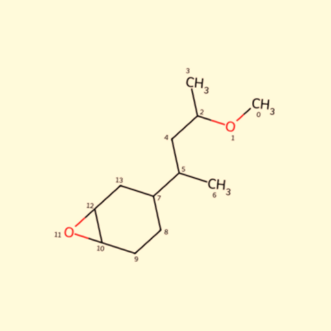 COC(C)CC(C)C1CCC2OC2C1